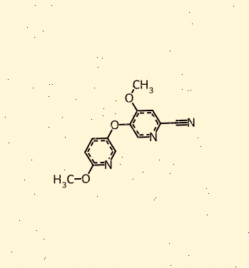 COc1ccc(Oc2cnc(C#N)cc2OC)cn1